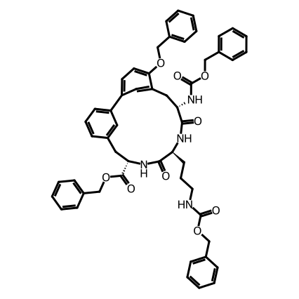 O=C(NCCC[C@@H]1NC(=O)[C@@H](NC(=O)OCc2ccccc2)Cc2cc(ccc2OCc2ccccc2)-c2cccc(c2)C[C@@H](C(=O)OCc2ccccc2)NC1=O)OCc1ccccc1